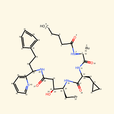 CC[C@H](C)[C@H](NC(=O)CCCC(=O)O)C(=O)N[C@@H](CC1CC1)C(=O)N[C@@H](CC(C)C)[C@@H](O)CC(=O)NC(CCc1ccccc1)c1ccccn1